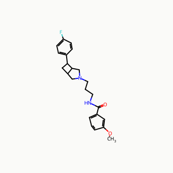 COc1cccc(C(=O)NCCCN2CC3CC(c4ccc(F)cc4)C3C2)c1